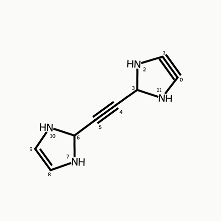 C1#CNC(C#CC2NC=CN2)N1